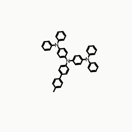 Cc1ccc(-c2ccc(N(c3ccc(N(c4ccccc4)c4ccccc4)cc3)c3ccc(N(c4ccccc4)c4ccccc4)cc3)cc2)cc1